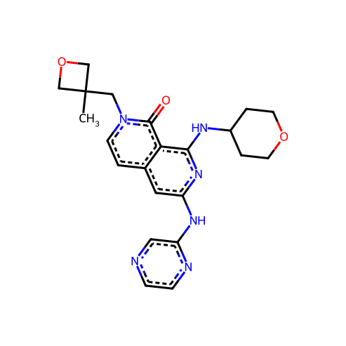 CC1(Cn2ccc3cc(Nc4cnccn4)nc(NC4CCOCC4)c3c2=O)COC1